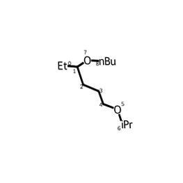 [CH2]CC(CCCOC(C)C)OCCCC